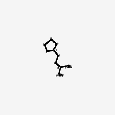 CCCC(CCN1CCCC1)C(C)(C)C